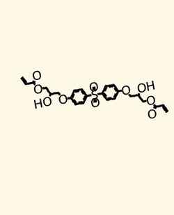 C=CC(=O)OCC(O)COc1ccc(S(=O)(=O)c2ccc(OCC(O)COC(=O)C=C)cc2)cc1